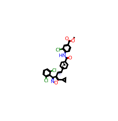 COC(=O)c1ccc(NC(=O)C23CCC(/C=C/c4c(-c5c(Cl)cccc5Cl)noc4C4CC4)(CC2)CC3)c(Cl)c1